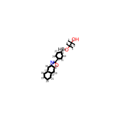 CC(C)(O)C(C)(C)OBc1ccc(-c2nc3cc4ccccc4cc3o2)cc1